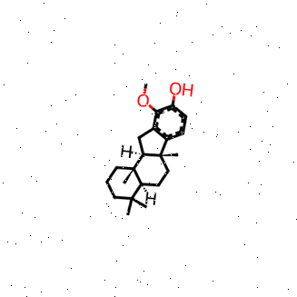 COc1c(O)ccc2c1C[C@@H]1[C@@]3(C)CCCC(C)(C)[C@@H]3CC[C@@]21C